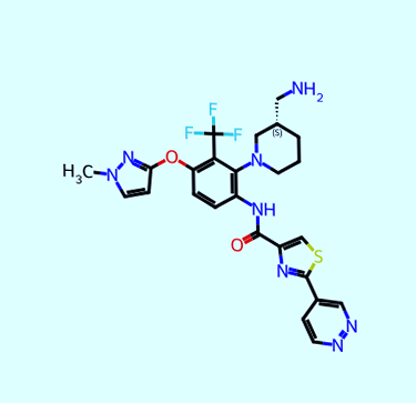 Cn1ccc(Oc2ccc(NC(=O)c3csc(-c4ccnnc4)n3)c(N3CCC[C@@H](CN)C3)c2C(F)(F)F)n1